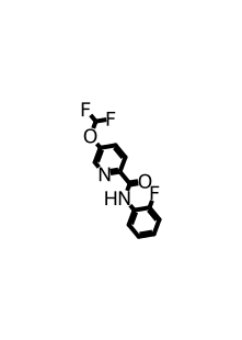 O=C(Nc1ccccc1F)c1ccc(OC(F)F)cn1